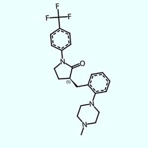 CN1CCN(c2ccccc2C[C@H]2CCN(c3ccc(C(F)(F)F)cc3)C2=O)CC1